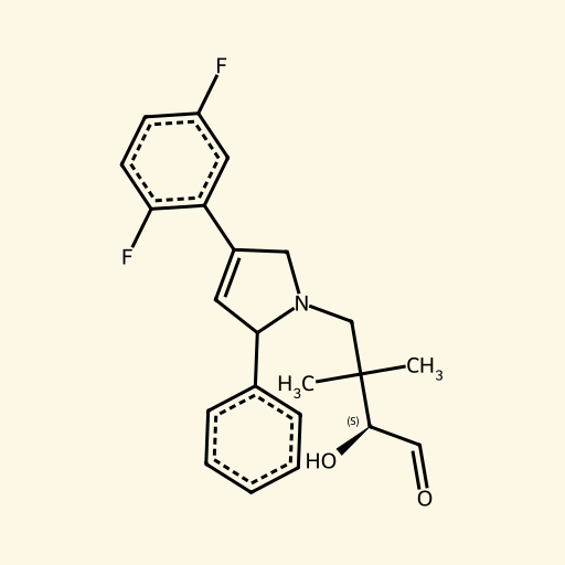 CC(C)(CN1CC(c2cc(F)ccc2F)=CC1c1ccccc1)[C@H](O)C=O